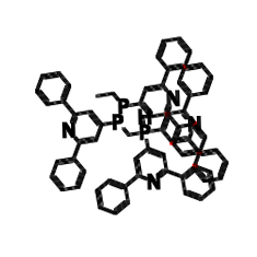 CCP(c1cc(-c2ccccc2)nc(-c2ccccc2)c1)P(C[PH](C)(c1cc(-c2ccccc2)nc(-c2ccccc2)c1)c1cc(-c2ccccc2)nc(-c2ccccc2)c1)c1cc(-c2ccccc2)nc(-c2ccccc2)c1